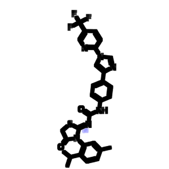 Cc1ccc(C(C)C)c(N2C(=O)CS/C2=N\C(=O)Nc2ccc(-c3cn(-c4ccc(C(F)(F)F)cn4)cn3)cc2)c1